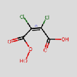 O=C(O)/C(Cl)=C(/Cl)C(=O)OO